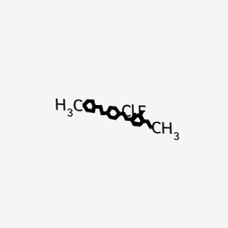 CCCc1ccc(CCC2CCC(CCC3CCC(C)CC3)CC2)c(Cl)c1F